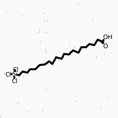 O=C(O)CCCCCCCCCCCCCCCCCCCC[Si](Cl)(Cl)Cl